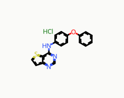 Cl.c1ccc(Oc2ccc(Nc3ncnc4ccsc34)cc2)cc1